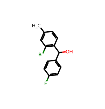 Cc1ccc(C(O)c2ccc(F)cc2)c(Br)c1